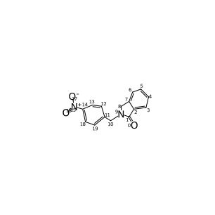 O=C1c2ccccc2CN1Cc1ccc([N+](=O)[O-])cc1